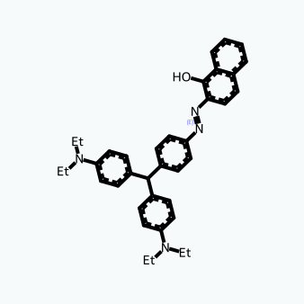 CCN(CC)c1ccc(C(c2ccc(/N=N/c3ccc4ccccc4c3O)cc2)c2ccc(N(CC)CC)cc2)cc1